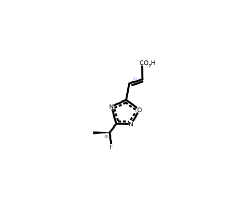 C[C@H](F)c1noc(/C=C/C(=O)O)n1